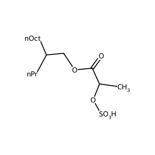 CCCCCCCCC(CCC)COC(=O)C(C)OS(=O)(=O)O